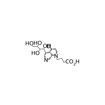 O=C(O)CCCn1ccc(=O)c2c(C(O)C(O)C(O)CO)cncc21